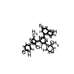 Cc1nn(-c2ccc(=O)[nH]c2)c(C)c1-c1cc(N2CCOC[C@H]2C)nc(-c2cc(F)cc3[nH]ccc23)n1